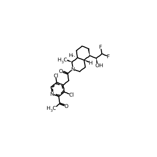 CC(=O)c1ncc(Cl)c(CC(=O)N2CC[C@H]3[C@H]([C@H](O)C(F)F)CCC[C@@H]3[C@@H]2C)c1Cl